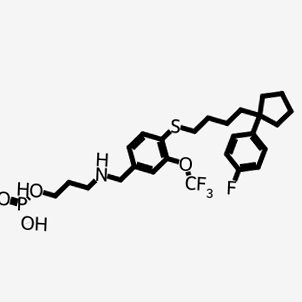 O=[PH](O)OCCCNCc1ccc(SCCCCC2(c3ccc(F)cc3)CCCC2)c(OC(F)(F)F)c1